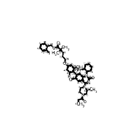 C=CC(=O)N1CCN(c2nc(=O)n(-c3ccccc3CCC)c3cc(-c4c(O)cc(OCCCC(C)(C)C(=O)OCc5ccccc5I)cc4F)c(Cl)cc23)[C@@H](C)C1